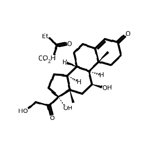 CCC(=O)C(=O)O.C[C@]12CCC(=O)C=C1CC[C@@H]1[C@@H]2[C@@H](O)C[C@@]2(C)[C@H]1CC[C@]2(O)C(=O)CO